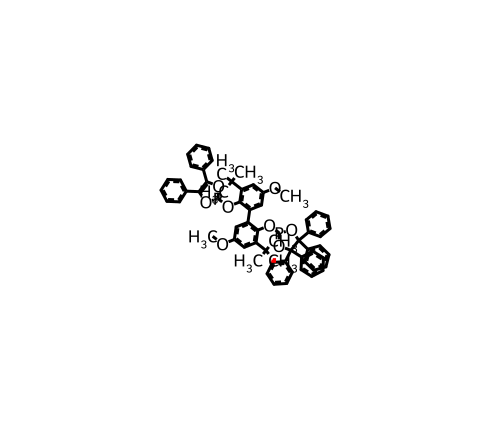 COc1cc(-c2cc(OC)cc(C(C)(C)C)c2OP2OC(c3ccccc3)(c3ccccc3)C(c3ccccc3)(c3ccccc3)O2)c(OP2OC(c3ccccc3)=C(c3ccccc3)O2)c(C(C)(C)C)c1